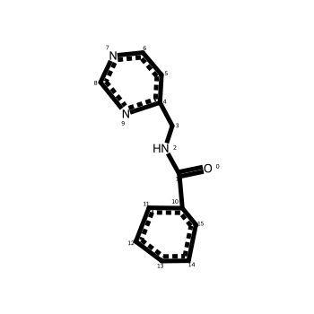 O=C(NCc1ccncn1)c1ccccc1